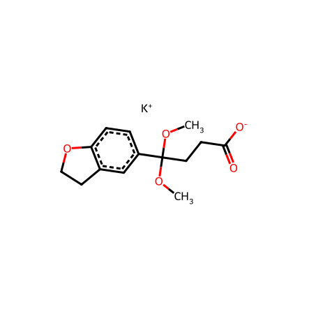 COC(CCC(=O)[O-])(OC)c1ccc2c(c1)CCO2.[K+]